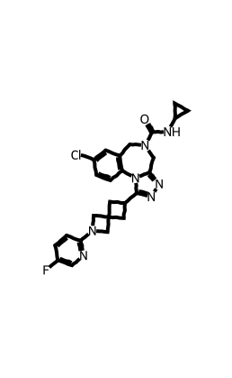 O=C(NC1CC1)N1Cc2cc(Cl)ccc2-n2c(nnc2C2CC3(C2)CN(c2ccc(F)cn2)C3)C1